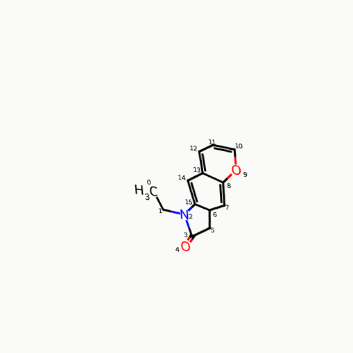 CCN1C(=O)CC2C=C3OC=CC=C3C=C21